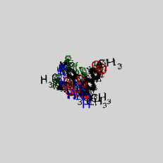 CC(C)(C)C[C@]1(c2ccc(-c3ccc(S(C)(=O)=O)cc3)c(F)c2)NC(=N)N([C@H](COC(O)NC2(C(C)(F)F)CC2)c2ccc(Cl)c(-n3ncnc3C(F)F)c2)C1=O